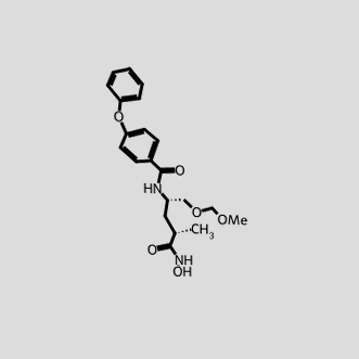 COCOC[C@H](C[C@H](C)C(=O)NO)NC(=O)c1ccc(Oc2ccccc2)cc1